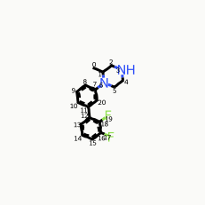 CC1CNCCN1c1cccc(-c2cccc(F)c2F)c1